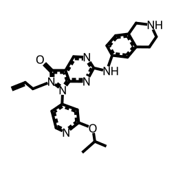 C=CCn1c(=O)c2cnc(Nc3ccc4c(c3)CCNC4)nc2n1-c1ccnc(OC(C)C)c1